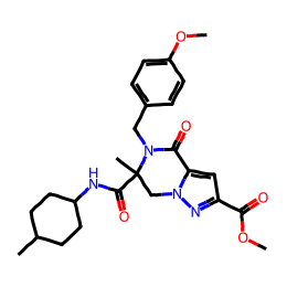 COC(=O)c1cc2n(n1)CC(C)(C(=O)NC1CCC(C)CC1)N(Cc1ccc(OC)cc1)C2=O